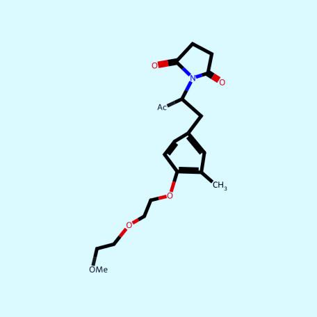 COCCOCCOc1ccc(CC(C(C)=O)N2C(=O)CCC2=O)cc1C